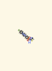 O=S(=O)(Nc1nccs1)c1ccc(N2CCN(c3ccc(F)cc3)CC2)cc1